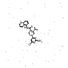 CC(C)[C@H]1CN(c2cc(Cl)nc(N)n2)CCN1C(=S)Nc1cccc2ncccc12